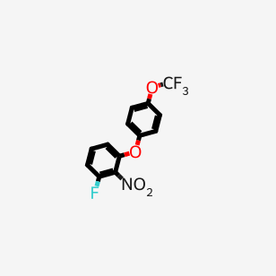 O=[N+]([O-])c1c(F)cccc1Oc1ccc(OC(F)(F)F)cc1